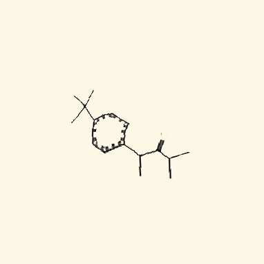 CC(C)C(=O)C(C)c1ccc(C(C)(C)C)cc1